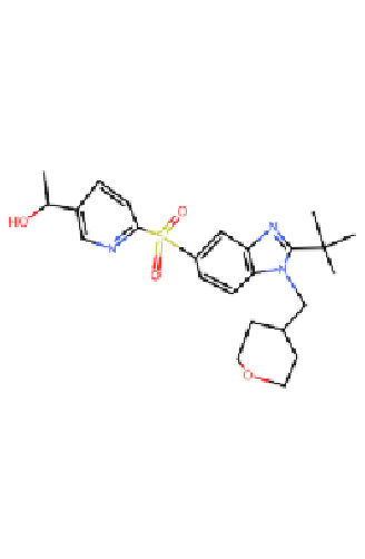 CC(O)c1ccc(S(=O)(=O)c2ccc3c(c2)nc(C(C)(C)C)n3CC2CCOCC2)nc1